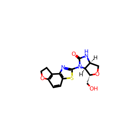 O=C1N[C@H]2CO[C@H](CO)[C@H]2N1c1nc2c3c(ccc2s1)OCC3